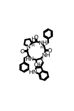 O=C1N[C@H](Cc2ccccc2)C(=O)N[C@@H](Cc2c[nH]c3ccccc23)C(O)N[C@@H](Cc2ccccc2)C(=O)N2CCC[C@H]12